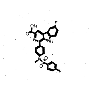 CN(c1ccc(-c2nc(C(=O)O)cc3c2[nH]c2ccc(F)cc23)cc1)S(=O)(=O)c1ccc(F)cc1